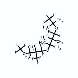 CC(C)(OC(F)(F)C(C)(C)C(C)(C)OC(F)(F)C(F)(C(F)(F)F)C(C)(C)OC(F)(F)F)C(F)(F)F